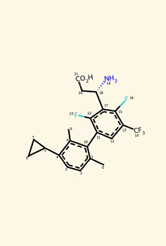 Cc1ccc(C2CC2)c(C)c1-c1cc(C(F)(F)F)c(F)c([C@@H](N)CC(=O)O)c1F